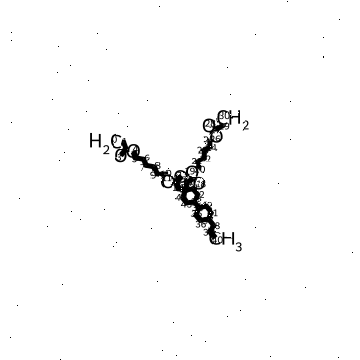 C=CC(=O)OCCCCCCOC(=O)CC1(CC(=O)OCCCCCCOC(=O)C=C)CCC(C2CCC(CCC)CC2)CC1